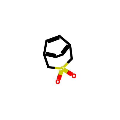 O=S1(=O)Cc2ccc(cc2)C1